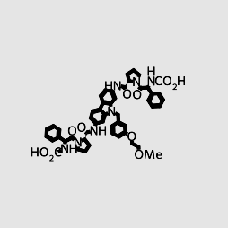 COCCOc1cccc(Cn2c3cc(NC(=O)[C@@H]4CCCN4C(=O)C(NC(=O)O)c4ccccc4)ccc3c3ccc(NC(=O)[C@@H]4CCCN4C(=O)C(NC(=O)O)c4ccccc4)cc32)c1